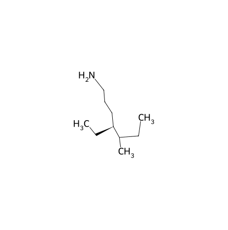 CCC(C)[C@@H](CC)CCCN